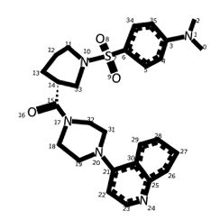 CN(C)c1ccc(S(=O)(=O)N2CCC[C@@H](C(=O)N3CCN(c4ccnc5ccccc45)CC3)C2)cc1